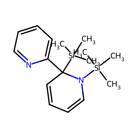 C[Si](C)(C)N1C=CC=CC1(c1ccccn1)[Si](C)(C)C